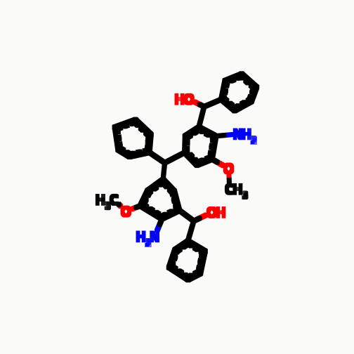 COc1cc(C(c2ccccc2)c2cc(OC)c(N)c(C(O)c3ccccc3)c2)cc(C(O)c2ccccc2)c1N